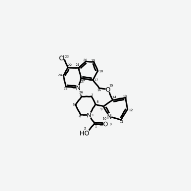 O=C(O)N1CCCCC1c1ncccc1OCc1cccc2c(Cl)ccnc12